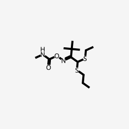 CCCSC(SCC)C(=NOC(=O)NC)C(C)(C)C